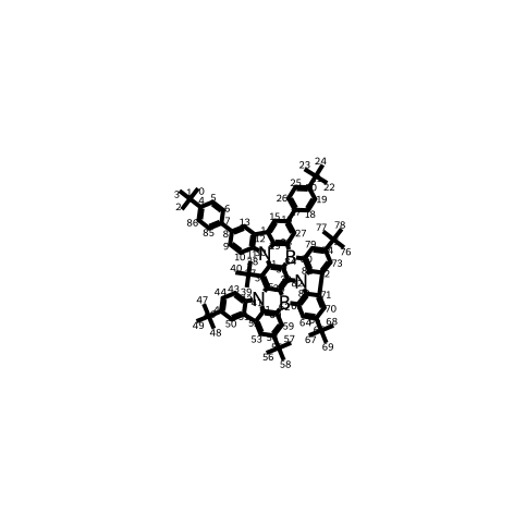 CC(C)(C)c1ccc(-c2ccc3c(c2)c2cc(-c4ccc(C(C)(C)C)cc4)cc4c2n3-c2c3c5c6c(c2C(C)(C)C)-n2c7ccc(C(C)(C)C)cc7c7cc(C(C)(C)C)cc(c72)B6c2cc(C(C)(C)C)cc6c7cc(C(C)(C)C)cc(c7n-5c26)B34)cc1